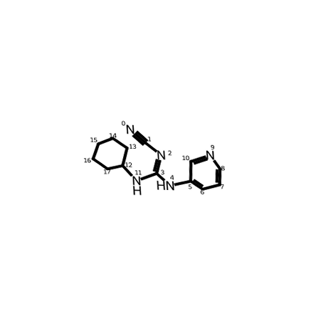 N#CN=C(Nc1cccnc1)NC1CCCCC1